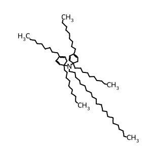 CCCCCCCCCCCCCCCCCCCCCCN(C1(CCCCCCCCCC)C=CC(CCCCCCCCC)=CC1)C1(CCCCCCCCCC)C=CC(CCCCCCCCC)=CC1